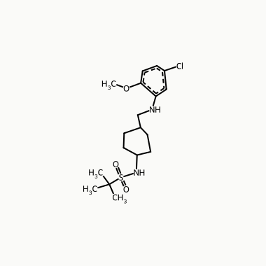 COc1ccc(Cl)cc1NCC1CCC(NS(=O)(=O)C(C)(C)C)CC1